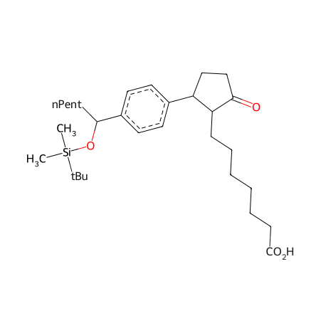 CCCCCC(O[Si](C)(C)C(C)(C)C)c1ccc(C2CCC(=O)C2CCCCCCC(=O)O)cc1